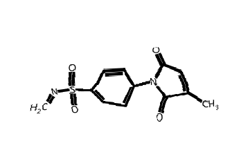 C=NS(=O)(=O)c1ccc(N2C(=O)C=C(C)C2=O)cc1